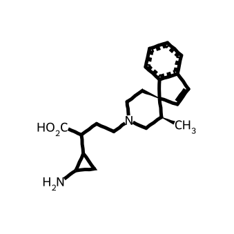 C[C@H]1CN(CCC(C(=O)O)C2CC2N)CC[C@@]12C=Cc1ccccc12